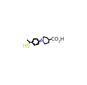 CC(S)c1ccc(N2CCC(C(=O)O)CC2)cc1